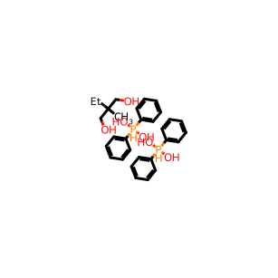 CCC(C)(CO)CO.O[PH](O)(c1ccccc1)c1ccccc1.O[PH](O)(c1ccccc1)c1ccccc1